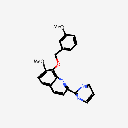 COc1cccc(COc2c(OC)ccc3ccc(-c4ncccn4)nc23)c1